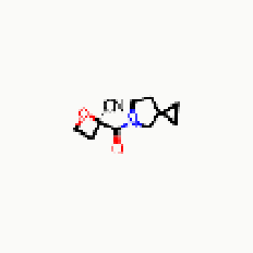 N#C[C@]1(C(=O)N2CCC3(CC3)C2)CCO1